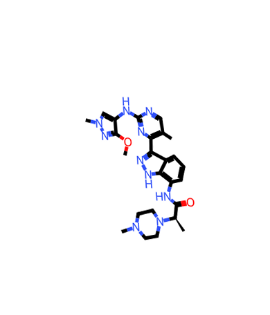 COc1nn(C)cc1Nc1ncc(C)c(-c2n[nH]c3c(NC(=O)[C@@H](C)N4CCN(C)CC4)cccc23)n1